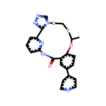 CC1CCCn2cnnc2-c2cccc(n2)NC(=O)c2cc(-c3ccncc3)ccc2O1